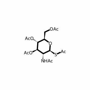 CC(=O)N[C@@H]1[C@@H](OC(C)=O)[C@H](OC(C)=O)[C@@H](COC(C)=O)O[C@H]1SC(C)=O